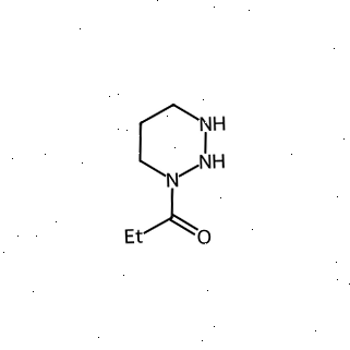 CCC(=O)N1CCCNN1